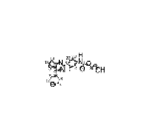 O=C(Nc1ccc(-c2nc(C3=CCOCC3)c3sccc3n2)cc1)OCCO